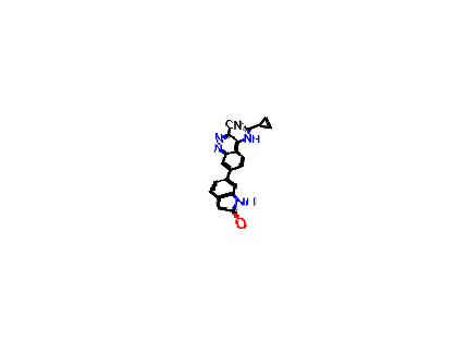 C[C@@H](Nc1c(C#N)nnc2cc(-c3ccc4c(c3)NC(=O)C4)ccc12)C1CC1